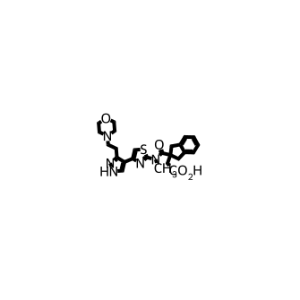 CN(C(=O)C1(CC(=O)O)Cc2ccccc2C1)c1nc(-c2c[nH]nc2CCN2CCOCC2)cs1